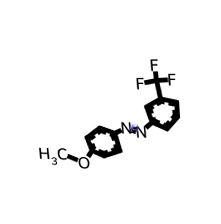 COc1ccc(/N=N/c2cccc(C(F)(F)F)c2)cc1